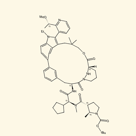 CCn1c(-c2cccnc2[C@H](C)OC)c2c3cc(ccc31)-c1cccc(c1)C[C@H](NC(=O)[C@H](C1CCCC1)N(C)C(=O)[C@@H]1CCN(C(=O)OC(C)(C)C)[C@H]1C)C(=O)N1CCC[C@H](N1)C(=O)OCC(C)(C)C2